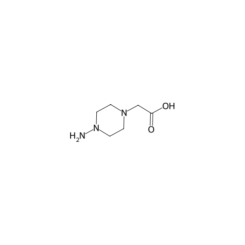 NN1CCN(CC(=O)O)CC1